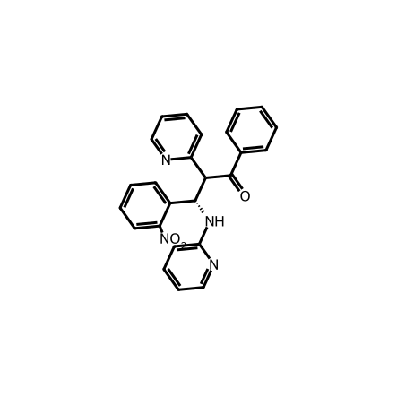 O=C(c1ccccc1)C(c1ccccn1)[C@H](Nc1ccccn1)c1ccccc1[N+](=O)[O-]